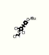 CC[C@@H](C)COc1ccc(C(C)(C)c2cc(Cl)c(OC[C@H](C)CCl)c(Cl)c2)cc1